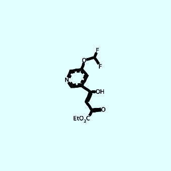 CCOC(=O)C(=O)/C=C(\O)c1cncc(OC(F)F)c1